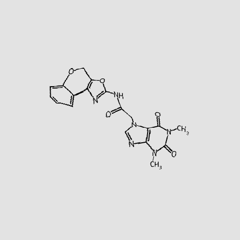 Cn1c(=O)c2c(ncn2CC(=O)Nc2nc3c(o2)COc2ccccc2-3)n(C)c1=O